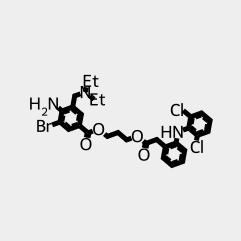 CCN(CC)Cc1cc(C(=O)OCCCOC(=O)Cc2ccccc2Nc2c(Cl)cccc2Cl)cc(Br)c1N